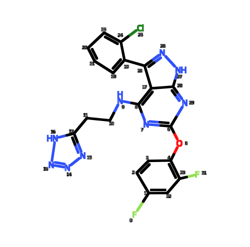 Fc1ccc(Oc2nc(NCCc3nnn[nH]3)c3c(-c4ccccc4Cl)n[nH]c3n2)c(F)c1